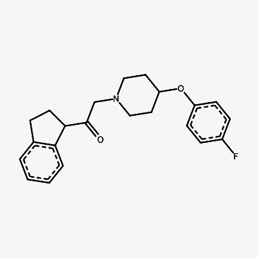 O=C(CN1CCC(Oc2ccc(F)cc2)CC1)C1CCc2ccccc21